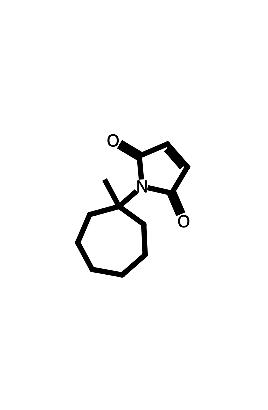 CC1(N2C(=O)C=CC2=O)CCCCCC1